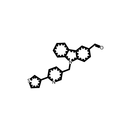 O=Cc1ccc2c(c1)c1ccccc1n2Cc1ccc(-c2ccsc2)nc1